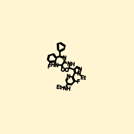 CCNc1cnc(-c2c(C(=O)N[C@H]3N=C(c4ccccc4)c4cccc(F)c4NC3=O)cnn2CC)c(F)c1